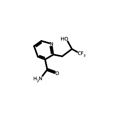 NC(=O)c1cccnc1CC(O)C(F)(F)F